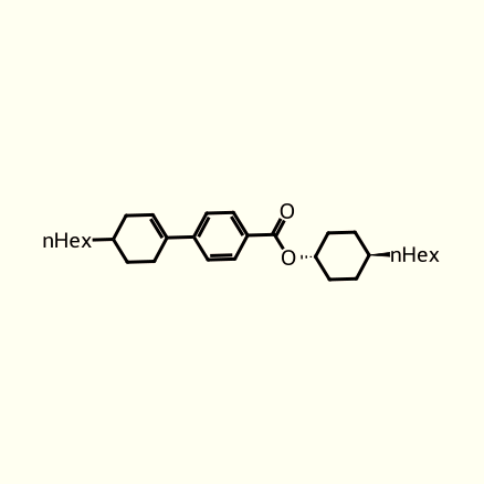 CCCCCCC1CC=C(c2ccc(C(=O)O[C@H]3CC[C@H](CCCCCC)CC3)cc2)CC1